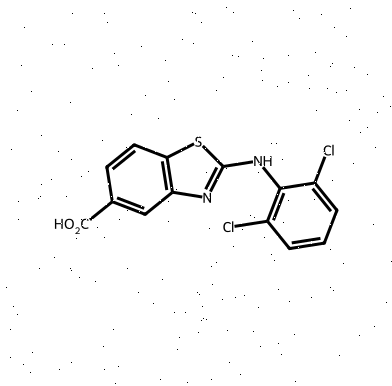 O=C(O)c1ccc2sc(Nc3c(Cl)cccc3Cl)nc2c1